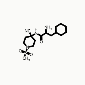 CS(=O)(=O)N1CCC(C#N)(NC(=O)C(N)CC2CCCCC2)CC1